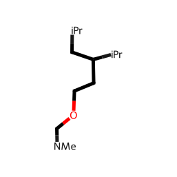 CNCOCCC(CC(C)C)C(C)C